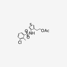 CC(=O)OCCc1cscc1NS(=O)(=O)c1cccc(Cl)c1C